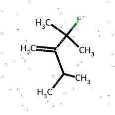 C=C(C(C)C)C(C)(C)F